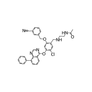 CC(=O)NCCNCc1cc(Cl)c(Oc2ncnc3c(-c4ccccc4)cccc23)cc1OCc1cccc(C#N)c1